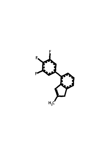 CC1=Cc2c(cccc2-c2cc(F)c(F)c(F)c2)C1